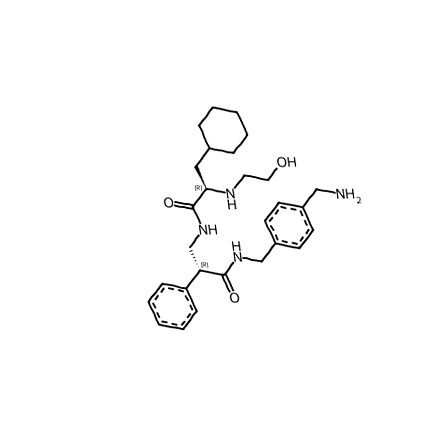 NCc1ccc(CNC(=O)[C@@H](CNC(=O)[C@@H](CC2CCCCC2)NCCO)c2ccccc2)cc1